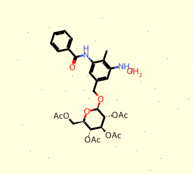 CC(=O)OC[C@H]1O[C@@H](OCc2cc(N)c(C)c(NC(=O)c3ccccc3)c2)[C@H](OC(C)=O)[C@@H](OC(C)=O)[C@@H]1OC(C)=O.O